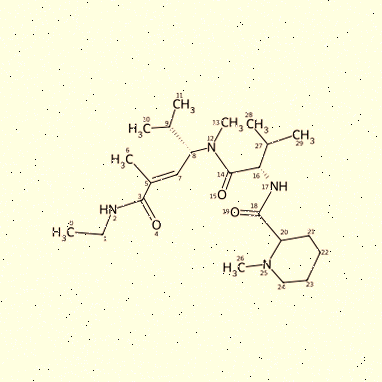 CCNC(=O)/C(C)=C/[C@H](C(C)C)N(C)C(=O)[C@@H](NC(=O)C1CCCCN1C)C(C)C